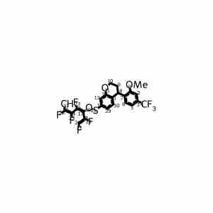 COc1cc(C(F)(F)F)ccc1C1CCOc2cc(SOC(/C(F)=C/F)=C(F)/C(F)=C(\C)F)ccc21